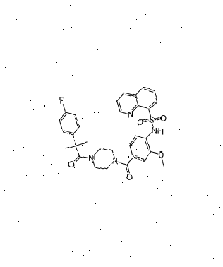 COc1cc(C(=O)N2CCN(C(=O)C(C)(C)c3ccc(F)cc3)CC2)ccc1NS(=O)(=O)c1cccc2cccnc12